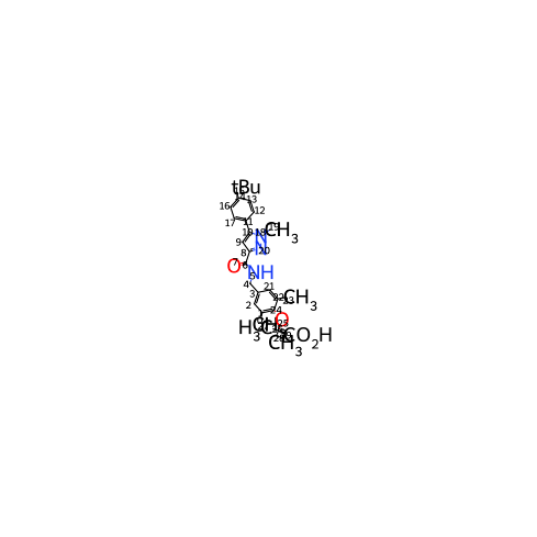 Cc1cc(CNC(=O)c2cc(-c3ccc(C(C)(C)C)cc3)n(C)n2)cc(C)c1OC(C)(C)C(=O)O